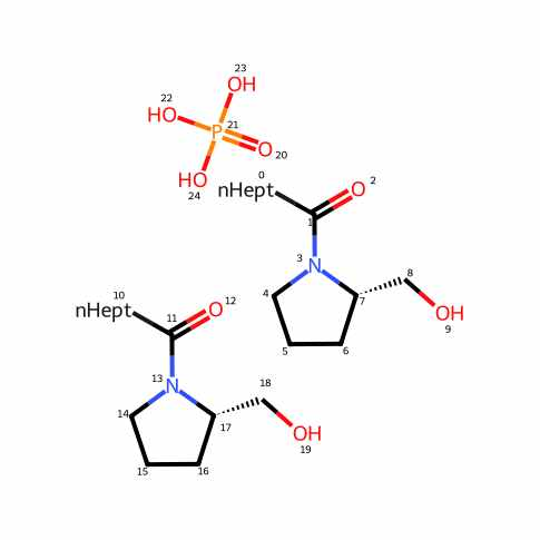 CCCCCCCC(=O)N1CCC[C@H]1CO.CCCCCCCC(=O)N1CCC[C@H]1CO.O=P(O)(O)O